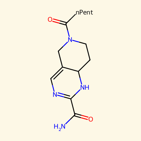 CCCCCC(=O)N1CCC2NC(C(N)=O)=NC=C2C1